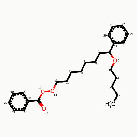 CCCCCOC(CCCCCCCOOC(=O)c1ccccc1)c1ccccc1